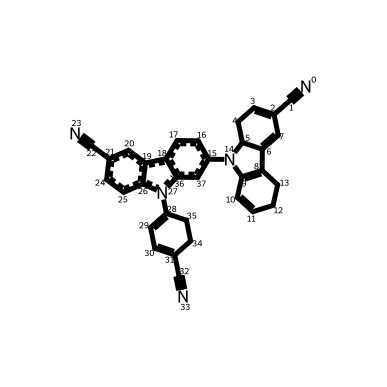 N#CC1=CCC2C(=C1)C1=C(C=CCC1)N2c1ccc2c3cc(C#N)ccc3n(C3=CC=C(C#N)CC3)c2c1